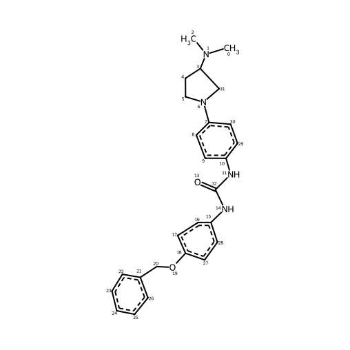 CN(C)C1CCN(c2ccc(NC(=O)Nc3ccc(OCc4ccccc4)cc3)cc2)C1